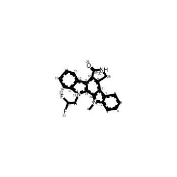 Cn1c2ccccc2c2c3c(c4c5ccccc5n(CC(F)F)c4c21)C(=O)NC3